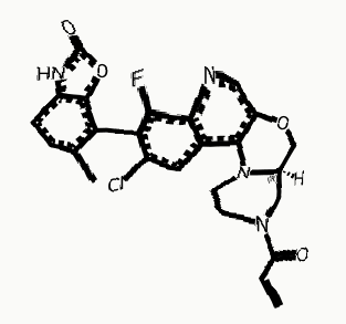 C=CC(=O)N1CCN2c3c(cnc4c(F)c(-c5c(C)ccc6[nH]c(=O)oc56)c(Cl)cc34)OC[C@H]2C1